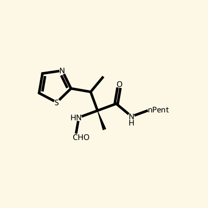 CCCCCNC(=O)[C@](C)(NC=O)C(C)c1nccs1